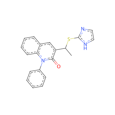 CC(Sc1ncc[nH]1)c1cc2ccccc2n(-c2ccccc2)c1=O